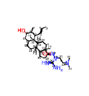 CC=CC1C(C)C(O)CC2CC[C@@H]3[C@@H](CC[C@]4(C)C(=NN(CCN(C)C)C(=N)N)CC[C@@]34O)[C@]21C